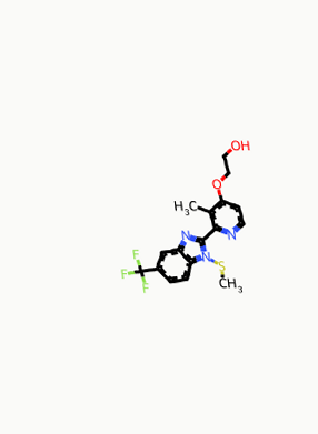 CSn1c(-c2nccc(OCCO)c2C)nc2cc(C(F)(F)F)ccc21